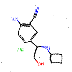 Cl.N#Cc1cc(C(CO)NC2CCC2)ccc1N